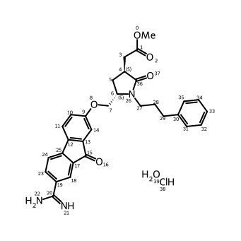 COC(=O)C[C@@H]1C[C@@H](COc2ccc3c(c2)C(=O)c2cc(C(=N)N)ccc2-3)N(CCCc2ccccc2)C1=O.Cl.O